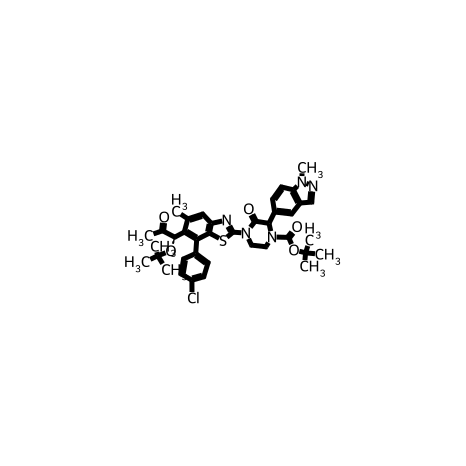 CC(=O)[C@@H](OC(C)(C)C)c1c(C)cc2nc(N3CCN(C(=O)OC(C)(C)C)C(c4ccc5c(cnn5C)c4)C3=O)sc2c1-c1ccc(Cl)cc1